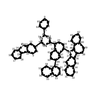 c1ccc(-c2nc(-c3ccc4c(c3)sc3ccccc34)nc(-c3ccc(-n4c5cc6ccccc6cc5c5ccc6ccccc6c54)c4cc(-c5cccc6ccccc56)ccc34)n2)cc1